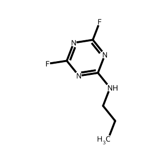 CCCNc1nc(F)nc(F)n1